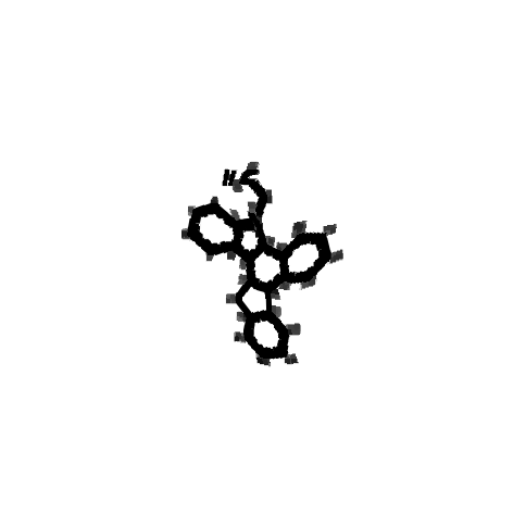 CCn1c2ccccc2c2c3c(c4ccccc4c21)-c1ccccc1C3